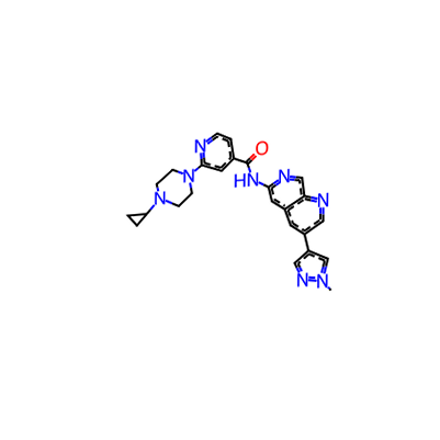 Cn1cc(-c2cnc3cnc(NC(=O)c4ccnc(N5CCN(C6CC6)CC5)c4)cc3c2)cn1